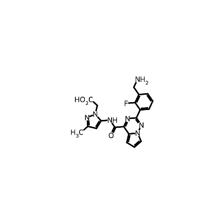 Cc1cc(NC(=O)c2nc(-c3cccc(CN)c3F)nn3cccc23)n(CC(=O)O)n1